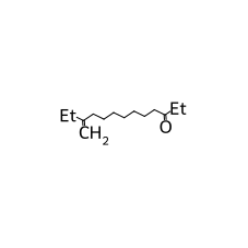 C=C(CC)CCCCCCCC(=O)CC